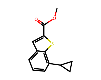 COC(=O)c1cc2cccc(C3CC3)c2s1